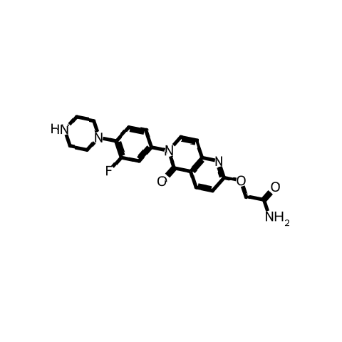 NC(=O)COc1ccc2c(=O)n(-c3ccc(N4CCNCC4)c(F)c3)ccc2n1